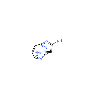 Nc1nc2nc3nc([nH]c13)C=C2